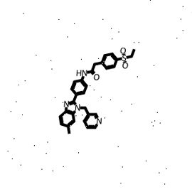 CCS(=O)(=O)c1ccc(CC(=O)Nc2ccc(-c3nc4ccc(C)cc4n3Cc3cccnc3)cc2)cc1